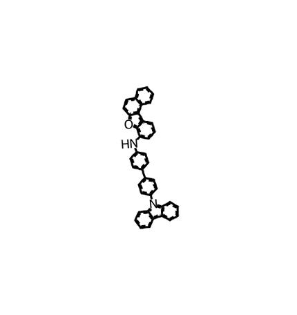 c1ccc2c(c1)ccc1oc3c(Nc4ccc(-c5ccc(-n6c7ccccc7c7ccccc76)cc5)cc4)cccc3c12